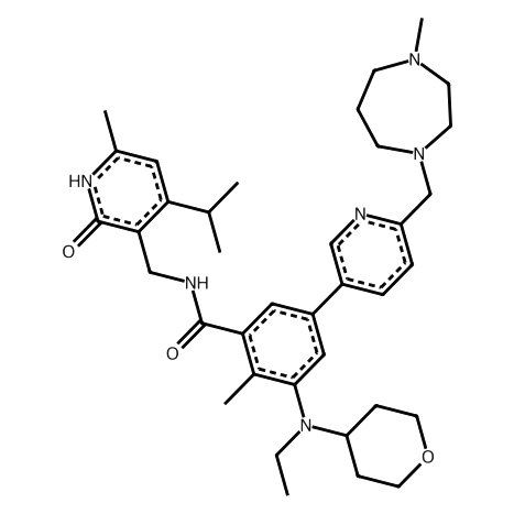 CCN(c1cc(-c2ccc(CN3CCCN(C)CC3)nc2)cc(C(=O)NCc2c(C(C)C)cc(C)[nH]c2=O)c1C)C1CCOCC1